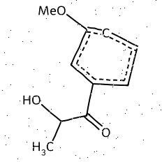 COc1cccc(C(=O)C(C)O)c1